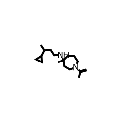 C=C(C)N1CCCC(C)(NCCC(C)C2CC2)CC1